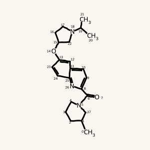 CC1CCCN(C(=O)c2ccc3cc(OC4CCN(C(C)C)C4)ccc3n2)C1